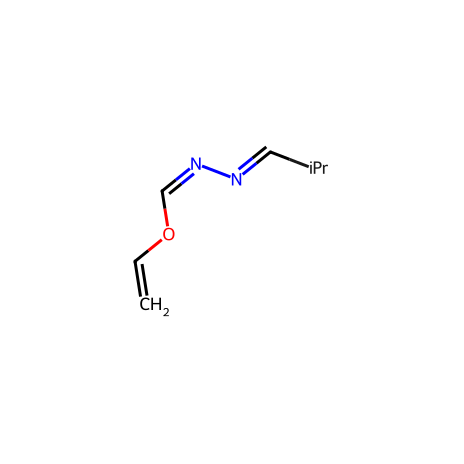 C=CO/C=N\N=C\C(C)C